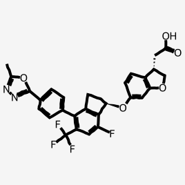 Cc1nnc(-c2ccc(-c3c(C(F)(F)F)cc(F)c4c3CC[C@H]4Oc3ccc4c(c3)OC[C@H]4CC(=O)O)cc2)o1